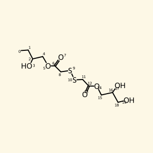 CCC(O)COC(=O)CSSCC(=O)OCC(O)CO